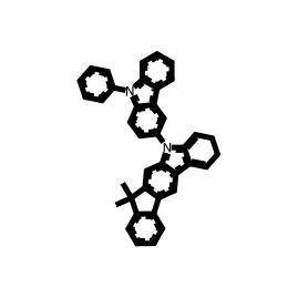 CC1(C)c2ccccc2-c2cc3c4c(n(-c5ccc6c(c5)c5ccccc5n6-c5ccccc5)c3cc21)=CCCC=4